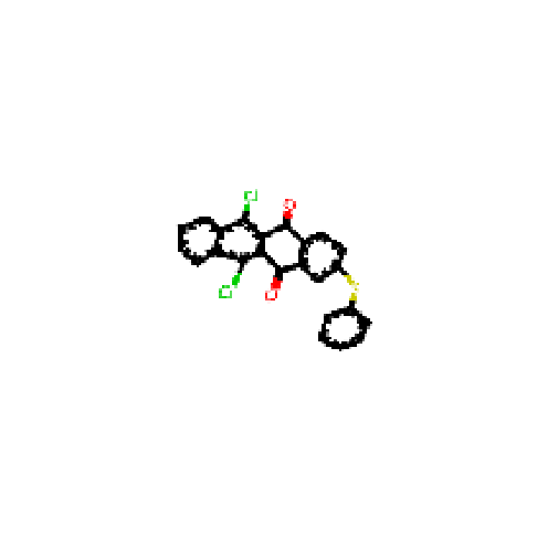 O=C1c2ccc(Sc3ccccc3)cc2C(=O)c2c1c(Cl)c1ccccc1c2Cl